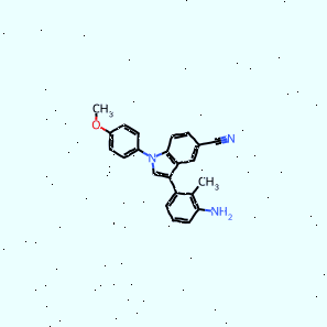 COc1ccc(-n2cc(-c3cccc(N)c3C)c3cc(C#N)ccc32)cc1